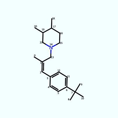 CC(=Cc1ccc(C(C)(C)C)cc1)CN1CCC(C)C(C)C1